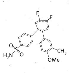 COc1ccc(-c2cc(F)c(F)cc2-c2ccc(S(N)(=O)=O)cc2)cc1C